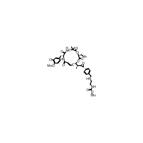 COc1ccc(C[C@H]2NC(=O)/C=C/C[C@@H]([C@H](C)[C@H]3O[C@@H]3c3ccc(CNCCNC(=O)OC(C)(C)C)cc3)OC(=O)[C@H](CC(C)C)OC(=O)C(C)(C)CNC2=O)cc1Cl